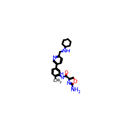 Cc1ccc(-c2ccc(CNC3CCCCC3)nc2)cc1NC(=O)c1coc(N)n1